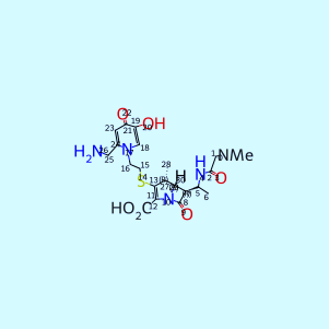 CNCC(=O)NC(C)[C@H]1C(=O)N2C(C(=O)O)=C(SCCn3cc(O)c(=O)cc3CN)[C@H](C)[C@H]12